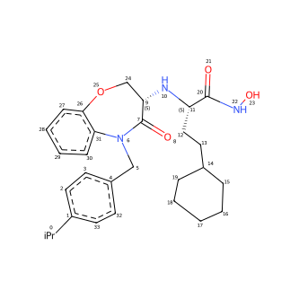 CC(C)c1ccc(CN2C(=O)[C@@H](N[C@@H](CCC3CCCCC3)C(=O)NO)COc3ccccc32)cc1